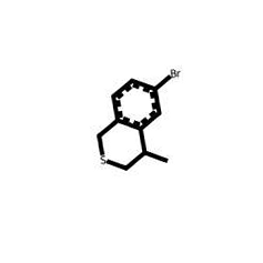 CC1CSCc2ccc(Br)cc21